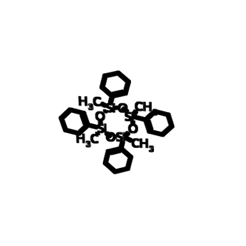 C[Si]1(C2=CCCCC2)O[Si](C)(C2=CCCCC2)O[Si](C)(C2=CCCCC2)O[Si](C)(C2=CCCCC2)O1